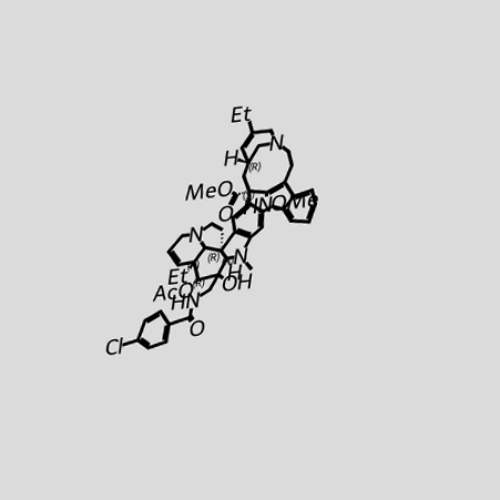 CCC1=C[C@@H]2CN(CCc3c([nH]c4ccccc34)[C@@](C(=O)OC)(c3cc4c(cc3OC)N(C)[C@H]3C(O)(CNC(=O)c5ccc(Cl)cc5)[C@H](OC(C)=O)[C@]5(CC)C=CCN6CC[C@]43C65)C2)C1